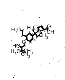 CCCc1cc(C(CC)(CC)c2ccc(C(=O)O)s2)ccc1OCC(O)C(C)(C)C